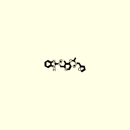 Cc1c(OC(C)[S+]([O-])Cc2ccco2)ccnc1C[S+]([O-])c1nc2ccccc2[nH]1